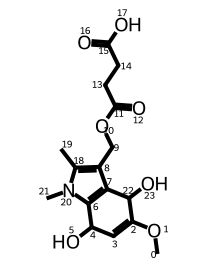 COC1=CC(O)c2c(c(COC(=O)CCC(=O)O)c(C)n2C)C1O